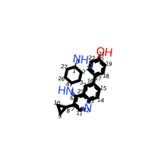 N[C@H]1CC[C@H](Nc2c(C3CC3)cnc3ccc(-c4ccc(O)cc4)cc23)CC1